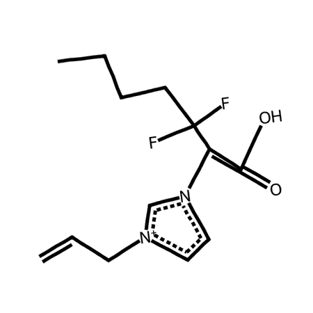 C=CC[n+]1ccn(C(C(=O)O)C(F)(F)CCCC)c1